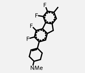 CNC1CC=C(c2cc3c(c(F)c2F)-c2c(cc(C)c(F)c2F)C3)CC1